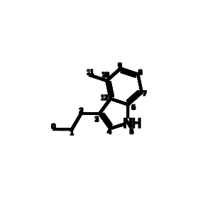 CCCc1c[nH]c2cccc(C)c12